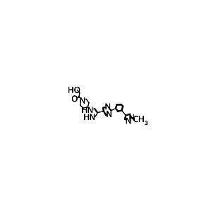 Cn1cc(-c2cccc(-c3ncc(/C(C=N)=C/NC4CCN(C(=O)CO)CC4)cn3)c2)cn1